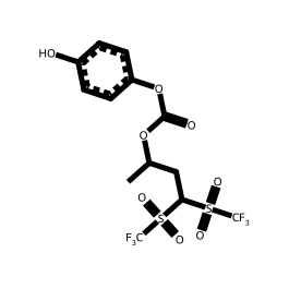 CC(CC(S(=O)(=O)C(F)(F)F)S(=O)(=O)C(F)(F)F)OC(=O)Oc1ccc(O)cc1